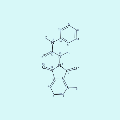 Cc1cccc2c1C(=O)N(N(C)C(=S)N(C)c1ccccc1)C2=O